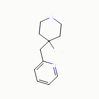 CCOC(=O)C1(Cc2ccccn2)CCNCC1